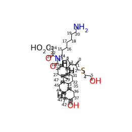 C=C(CSCCO)[C@@H]1CC[C@]2(C(=O)N(CCCCCCCN)C(=O)CC(=O)O)CC[C@]3(C)[C@H](CCC4[C@@]5(C)CC[C@H](O)C(C)(C)[C@@H]5CC[C@]43C)[C@@H]12